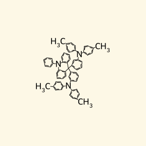 Cc1ccc(N(c2ccc(C)cc2)c2cccc(C3(c4cccc(N(c5ccc(C)cc5)c5ccc(C)cc5)c4)c4ccccc4N(c4ccccc4)c4ccccc43)c2)cc1